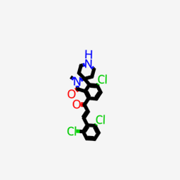 CN1C(=O)c2c(C(=O)/C=C/c3c(Cl)cccc3Cl)ccc(Cl)c2C12CCNCC2